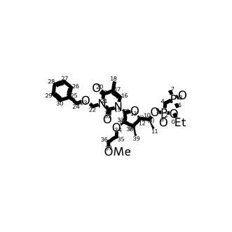 CCOP(=O)(CP(C)(C)=O)O[C@@H](C)[C@H]1O[C@@H](n2cc(C)c(=O)n(COCc3ccccc3)c2=O)[C@H](OCCOC)[C@@H]1C